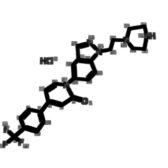 Cl.O=c1cc(-c2ccc(C(F)(F)F)cc2)ccn1-c1ccc2c(cnn2CCN2CCNCC2)c1